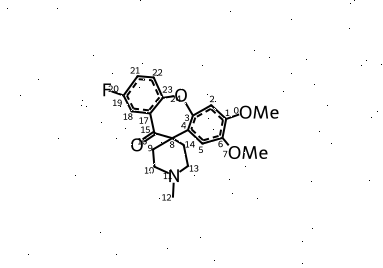 COc1cc2c(cc1OC)C1(CCN(C)CC1)C(=O)c1cc(F)ccc1O2